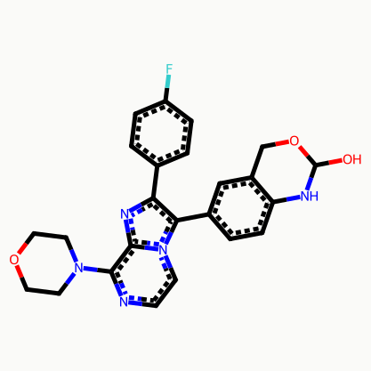 OC1Nc2ccc(-c3c(-c4ccc(F)cc4)nc4c(N5CCOCC5)nccn34)cc2CO1